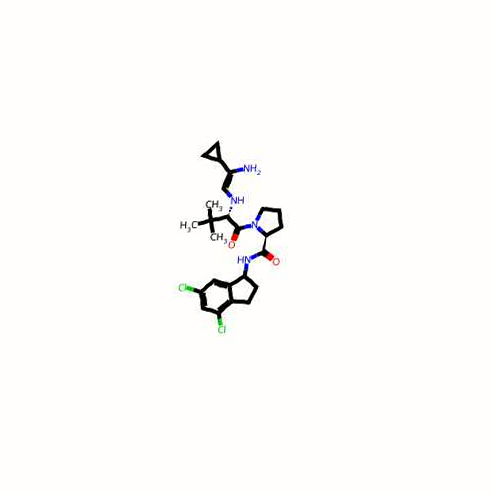 CC(C)(C)[C@H](N/C=C(\N)C1CC1)C(=O)N1CCC[C@H]1C(=O)NC1CCc2c(Cl)cc(Cl)cc21